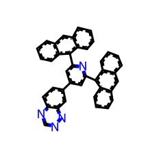 c1ccc2c(-c3cc(-c4ccc5ncnnc5c4)cc(-c4c5ccccc5cc5ccccc45)n3)c3ccccc3cc2c1